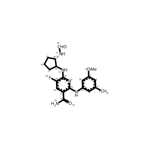 COc1cc(C)cc(Nc2nc(NC3CCC[C@@H]3NC=O)c(F)cc2C(N)=O)c1